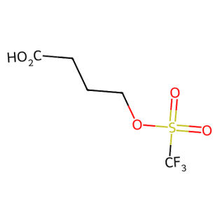 O=C(O)CCCOS(=O)(=O)C(F)(F)F